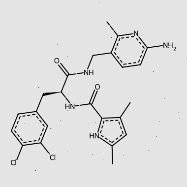 Cc1cc(C)c(C(=O)N[C@@H](Cc2ccc(Cl)c(Cl)c2)C(=O)NCc2ccc(N)nc2C)[nH]1